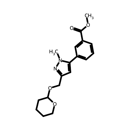 COC(=O)c1cccc(-c2cc(COC3CCCCO3)nn2C)c1